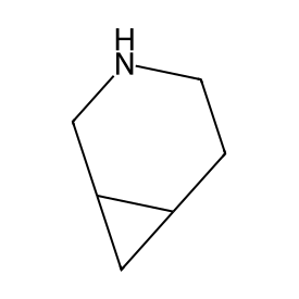 C1CC2CC2CN1